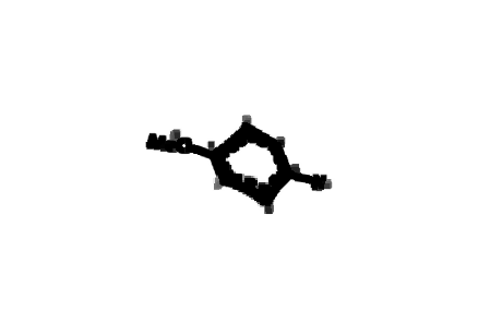 COc1ccc([N])cc1